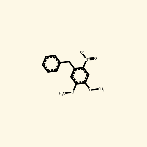 COc1cc([CH]c2ccccc2)c([N+](=O)[O-])cc1OC